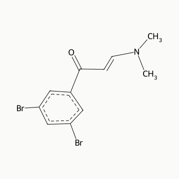 CN(C)C=CC(=O)c1cc(Br)cc(Br)c1